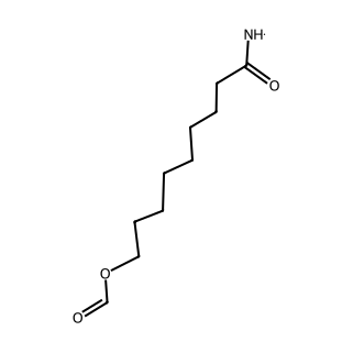 [NH]C(=O)CCCCCCCCOC=O